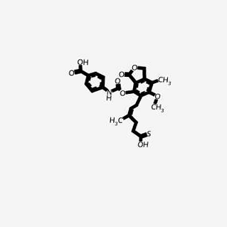 COc1c(C)c2c(c(OC(=O)Nc3ccc(C(=O)O)cc3)c1CC=C(C)CCC(O)=S)C(=O)OC2